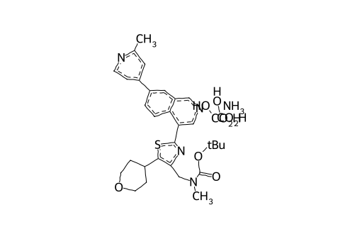 Cc1cc(-c2ccc3c(-c4nc(CN(C)C(=O)OC(C)(C)C)c(C5CCOCC5)s4)cncc3c2)ccn1.N.O=C(O)O.O=C(O)O